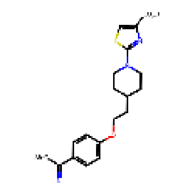 CCOC(=O)c1csc(N2CCC(CCOc3ccc(C(=N)OC)cc3)CC2)n1